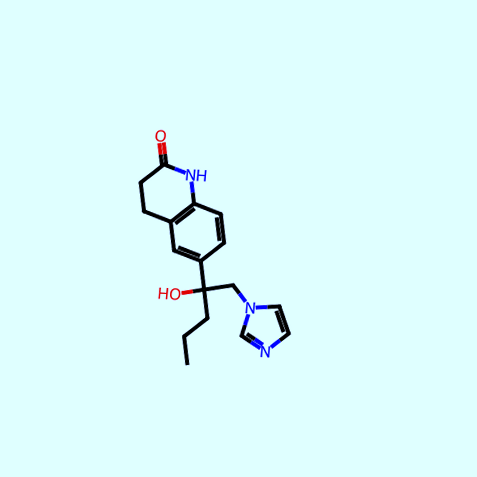 CCCC(O)(Cn1ccnc1)c1ccc2c(c1)CCC(=O)N2